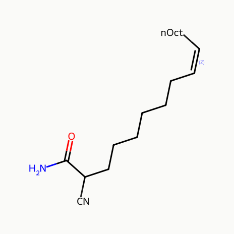 CCCCCCCC/C=C\CCCCCCC(C#N)C(N)=O